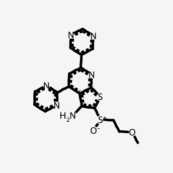 COCC[S+]([O-])c1sc2nc(-c3cncnc3)cc(-c3ncccn3)c2c1N